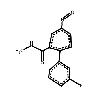 CNC(=O)c1cc(N=O)ccc1-c1cccc(F)c1